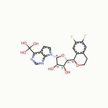 O[C@@H]1[C@H](O)[C@@H]([C@@H]2OCCc3cc(F)c(F)cc32)O[C@H]1n1ccc2c(C(O)(O)O)ncnc21